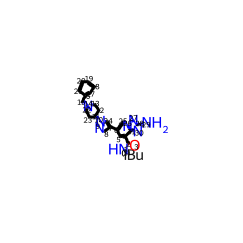 CC[C@H](C)NC(=O)c1cc(-c2cnn(C3CCN(Cc4ccccc4)CC3)c2)cn2nc(N)nc12